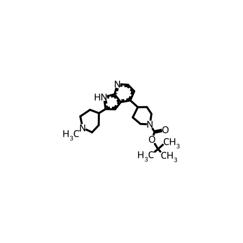 CN1CCC(c2cc3c(C4CCN(C(=O)OC(C)(C)C)CC4)ccnc3[nH]2)CC1